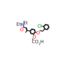 CCN(CC)C(=O)/C=C(\C)c1ccc(OCCc2ccccc2Cl)c(OCC(=O)O)c1